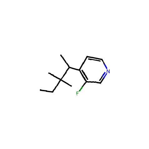 CCC(C)(C)C(C)c1ccncc1F